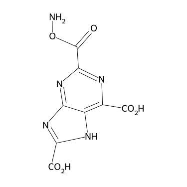 NOC(=O)c1nc(C(=O)O)c2[nH]c(C(=O)O)nc2n1